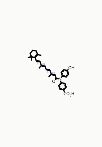 CC1=C(/C=C/C(C)=C/C=C/C(C)=C/C(=O)N(c2ccc(O)cc2)c2ccc(C(=O)O)cc2)C(C)(C)CCC1